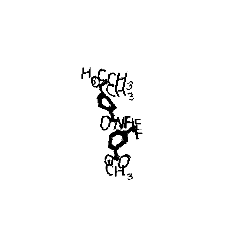 COC(=O)c1ccc(NC(=O)c2ccc(C(=O)C(C)(C)C)cc2)c(C(F)(F)F)c1